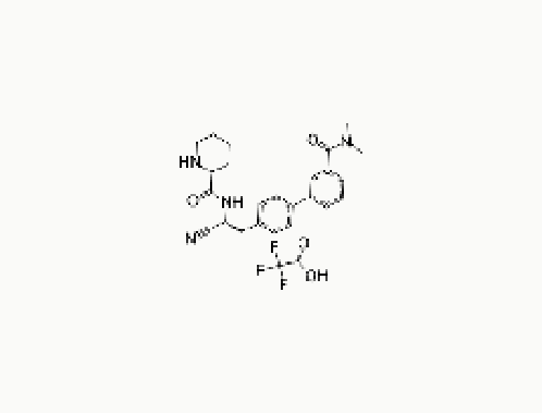 CN(C)C(=O)c1cccc(-c2ccc(C[C@@H](C#N)NC(=O)[C@@H]3CCCCN3)cc2)c1.O=C(O)C(F)(F)F